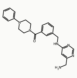 NCc1cc(NCc2cccc(C(=O)N3CCN(c4ccccc4)CC3)c2)ncn1